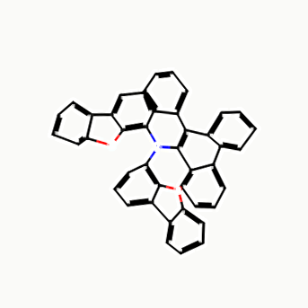 c1ccc(-c2c(N(c3cccc4c3oc3ccccc34)c3cccc4c3oc3ccccc34)c3ccccc3c3ccccc23)cc1